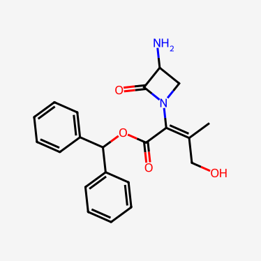 CC(CO)=C(C(=O)OC(c1ccccc1)c1ccccc1)N1CC(N)C1=O